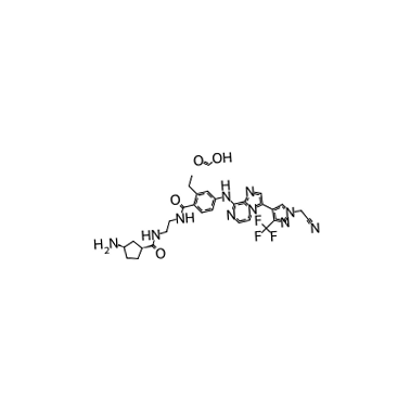 CCc1cc(Nc2nccn3c(-c4cn(CC#N)nc4C(F)(F)F)cnc23)ccc1C(=O)NCCNC(=O)[C@H]1CC[C@@H](N)C1.O=CO